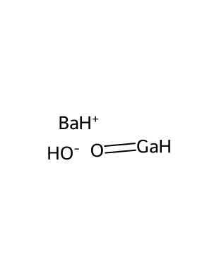 [BaH+].[OH-].[O]=[GaH]